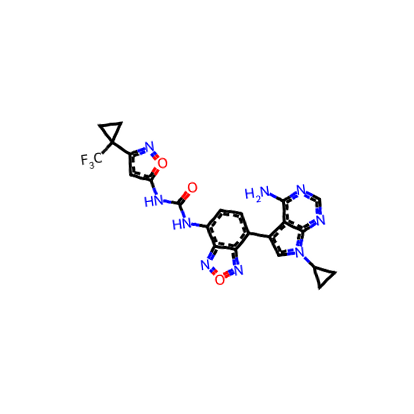 Nc1ncnc2c1c(-c1ccc(NC(=O)Nc3cc(C4(C(F)(F)F)CC4)no3)c3nonc13)cn2C1CC1